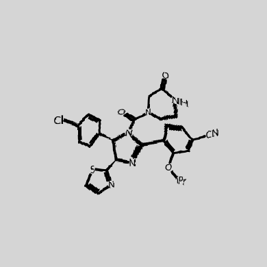 CC(C)Oc1cc(C#N)ccc1C1=N[C@@H](c2nccs2)[C@@H](c2ccc(Cl)cc2)N1C(=O)N1CCNC(=O)C1